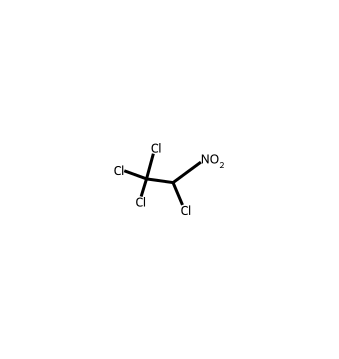 O=[N+]([O-])C(Cl)C(Cl)(Cl)Cl